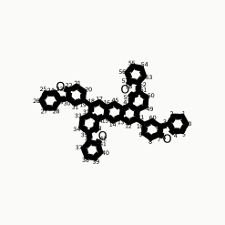 c1ccc2c(c1)oc1ccc(-c3cc4cc5c(cc(-c6ccc7oc8ccccc8c7c6)c6ccc7c8ccccc8oc7c65)cc4c4c3ccc3c5ccccc5oc34)cc12